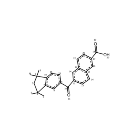 CC1(C)CC(C)(C)c2cc(C(=O)c3ccc4cc(C(=O)O)ccc4c3)ccc21